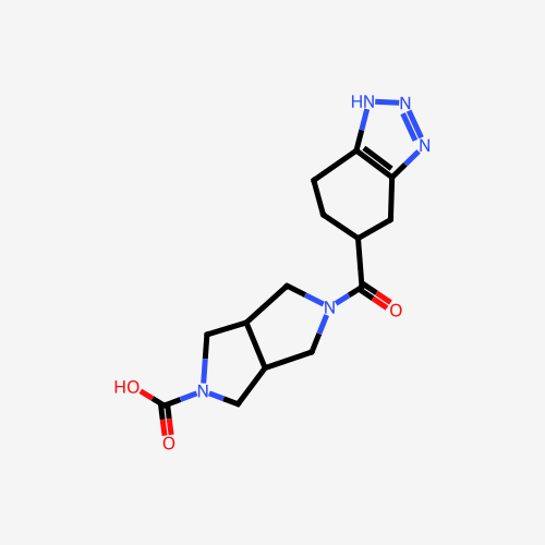 O=C(O)N1CC2CN(C(=O)C3CCc4[nH]nnc4C3)CC2C1